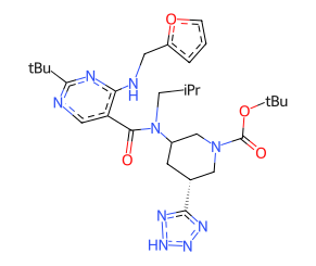 CC(C)CN(C(=O)c1cnc(C(C)(C)C)nc1NCc1ccco1)C1C[C@@H](c2nn[nH]n2)CN(C(=O)OC(C)(C)C)C1